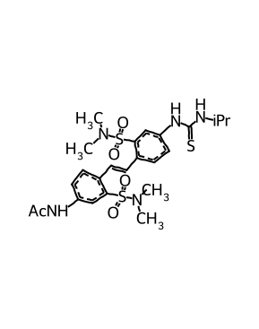 CC(=O)Nc1ccc(/C=C/c2ccc(NC(=S)NC(C)C)cc2S(=O)(=O)N(C)C)c(S(=O)(=O)N(C)C)c1